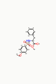 COC(=O)C(Cc1ccccc1)NS(=O)(=O)c1ccc(OC)cc1